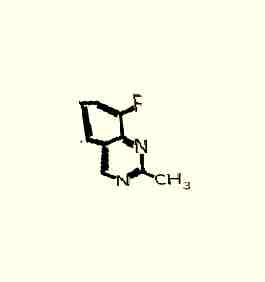 Cc1ncc2[c]ccc(F)c2n1